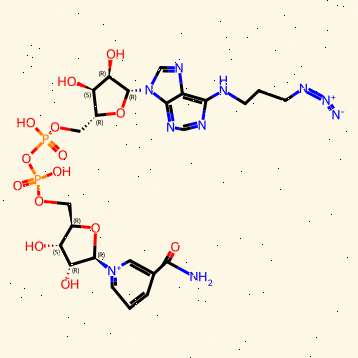 [N-]=[N+]=NCCCNc1ncnc2c1ncn2[C@@H]1O[C@H](COP(=O)(O)OP(=O)(O)OC[C@H]2O[C@@H]([n+]3cccc(C(N)=O)c3)[C@H](O)[C@@H]2O)[C@@H](O)[C@H]1O